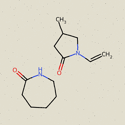 C=CN1CC(C)CC1=O.O=C1CCCCCN1